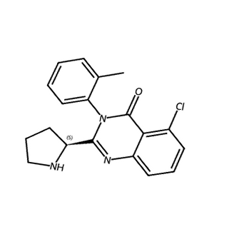 Cc1ccccc1-n1c([C@@H]2CCCN2)nc2cccc(Cl)c2c1=O